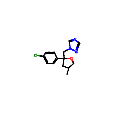 CC1COC(Cn2cncn2)(c2ccc(Cl)cc2)C1